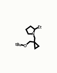 CCC1CCCN1CC1(COC(C)(C)C)CC1